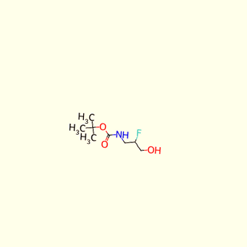 CC(C)(C)OC(=O)NCC(F)CO